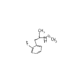 CONC(C)Cc1ccccc1F